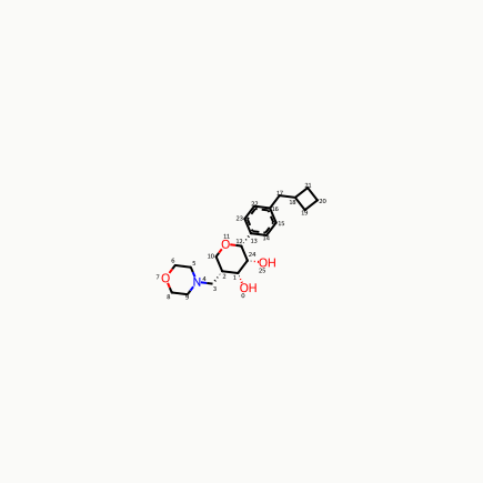 O[C@@H]1[C@H](CN2CCOCC2)CO[C@H](c2ccc(CC3CCC3)cc2)[C@@H]1O